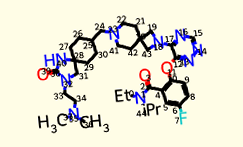 CCN(C(=O)c1cc(F)ccc1Oc1nncnc1N1CC2(CCN(CC3CCC4(CC3)CN(CCN(C)C)C(=O)N4)CC2)C1)C(C)C